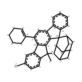 CC1(C)c2ccc(Cl)cc2-c2c(C3=CCCCC3)cc3c(c21)C1(c2ccccc2-3)C2CC3CC(C2)CC1C3